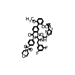 COc1cccc(OC)c1-c1ccc2c(=O)n(-c3ccc(S(=O)(=O)N4CCOCC4)cc3)c(C(Cc3cc(F)cc(F)c3)NC(=O)Cn3ccc(C4CC4)n3)nc2c1